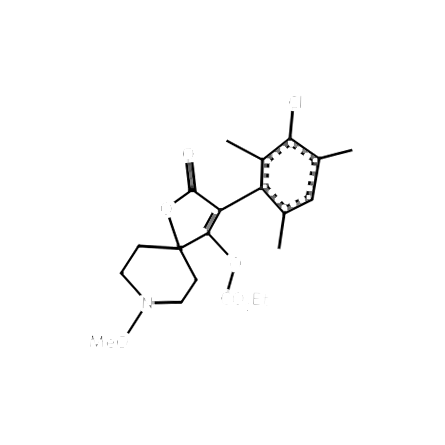 CCOC(=O)OC1=C(c2c(C)cc(C)c(Cl)c2C)C(=O)OC12CCN(OC)CC2